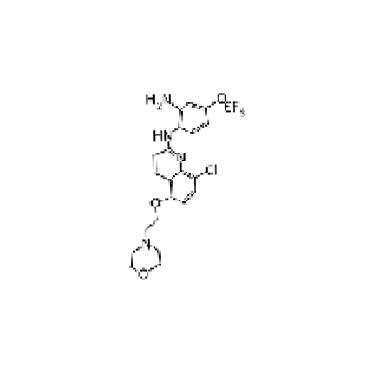 Nc1cc(OC(F)(F)F)ccc1Nc1ccc2c(OCCN3CCOCC3)ccc(Cl)c2n1